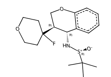 CC(C)(C)[S@+]([O-])N[C@H]1c2ccccc2OC[C@@H]1C1(F)CCOCC1